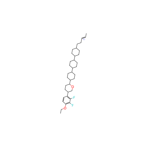 C/C=C/CCC1CCC(C2CCC(C3CCC(C4CCC(c5ccc(OCC)c(F)c5F)CO4)CC3)CC2)CC1